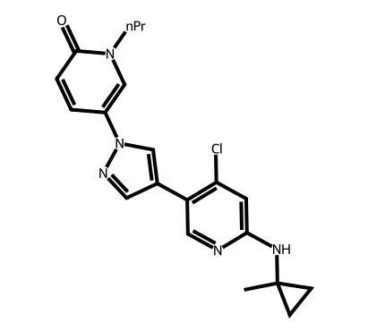 CCCn1cc(-n2cc(-c3cnc(NC4(C)CC4)cc3Cl)cn2)ccc1=O